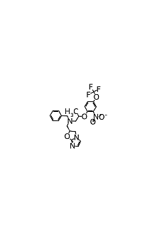 CC(CN(Cc1ccccc1)C[C@H]1Cn2ccnc2O1)Oc1ccc(OC(F)(F)F)cc1[N+](=O)[O-]